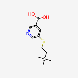 C[Si](C)(C)CCSc1cncc(B(O)O)c1